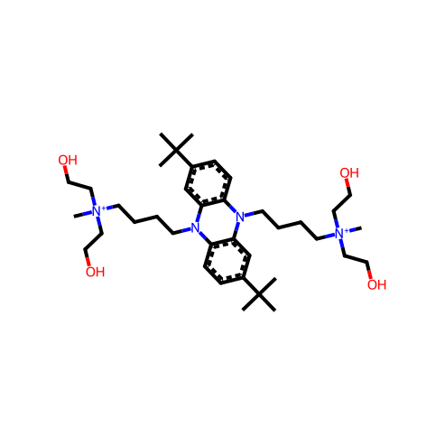 CC(C)(C)c1ccc2c(c1)N(CCCC[N+](C)(CCO)CCO)c1ccc(C(C)(C)C)cc1N2CCCC[N+](C)(CCO)CCO